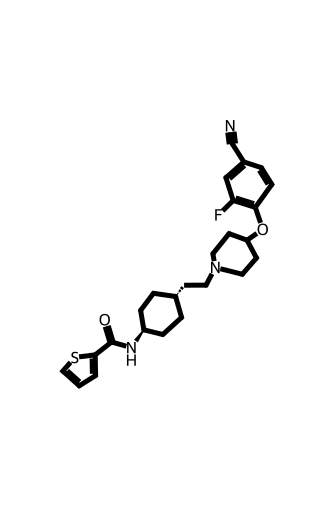 N#Cc1ccc(OC2CCN(CC[C@H]3CC[C@H](NC(=O)c4cccs4)CC3)CC2)c(F)c1